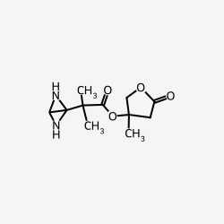 CC1(OC(=O)C(C)(C)C23NC2N3)COC(=O)C1